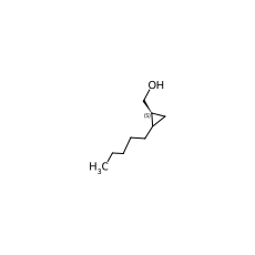 CCCCCC1C[C@@H]1CO